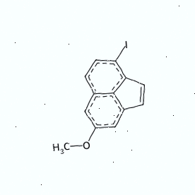 COc1cc2c3c(c(I)ccc3c1)C=C2